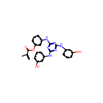 C=C(C)C(=O)Oc1cccc(Nc2nc(Nc3cccc(O)c3)nc(Nc3cccc(O)c3)n2)c1